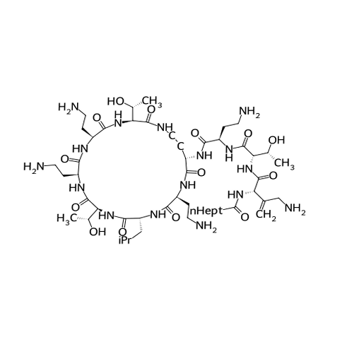 C=C(CN)[C@H](NC(=O)CCCCCCC)C(=O)N[C@H](C(=O)N[C@H](CCN)C(=O)N[C@H]1CCNC(=O)[C@H]([C@@H](C)O)NC(=O)[C@H](CCN)NC(=O)[C@H](CCN)NC(=O)[C@H]([C@@H](C)O)NC(=O)[C@@H](CC(C)C)NC(=O)[C@H](CCN)NC1=O)[C@@H](C)O